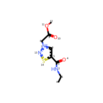 CCNC(=O)c1c[n+](CC(=O)OC)ns1